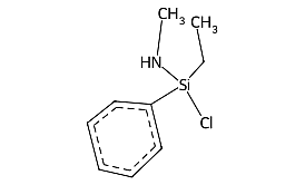 CC[Si](Cl)(NC)c1ccccc1